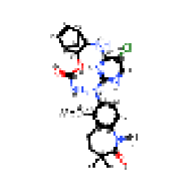 CCN1C(=O)C(C)(C)CCc2c1ccc(Nc1ncc(Cl)c(NC3C4C=CC(C4)C3OC(N)=O)n1)c2OC